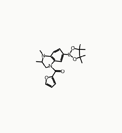 CC1CN(C(=O)c2ccco2)c2cc(B3OC(C)(C)C(C)(C)O3)ccc2N1C